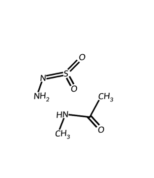 CNC(C)=O.NN=S(=O)=O